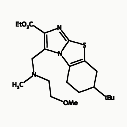 CCOC(=O)c1nc2sc3c(n2c1CN(C)CCOC)CCC(C(C)(C)C)C3